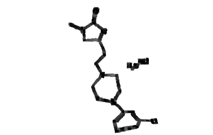 CN1CC(CCN2CCN(c3cccc(Cl)c3)CC2)OC1=O.Cl.O